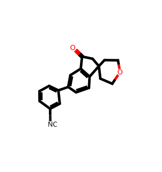 [C-]#[N+]c1cccc(-c2ccc3c(c2)C(=O)CC32CCOCC2)c1